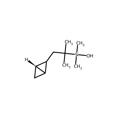 CC(C)(CC1C2C[C@@H]21)[Si](C)(C)O